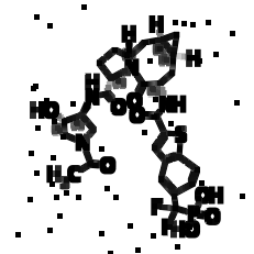 CC(=O)N1C[C@H](NC(=O)[C@@H]2CC[C@@H]3C[C@H]4C[C@H]4C[C@H](NC(=O)c4cc5cc(C(F)(F)P(=O)(O)O)ccc5s4)C(=O)N32)[C@@H](O)C1